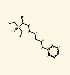 CCP(=O)(CC)C(F)CCCCCCc1ccccc1